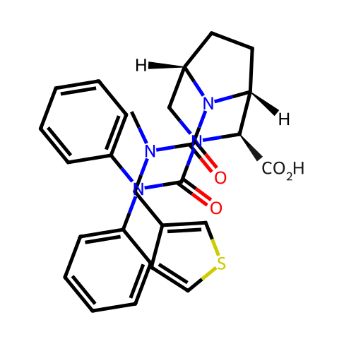 CN(Cc1ccsc1)C(=O)N1[C@H]2CC[C@@H]1[C@@H](C(=O)O)N(C(=O)N(c1ccccc1)c1ccccc1)C2